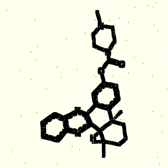 CN1CCN(C(=O)Oc2ccc3c(c2)-c2nc4ccccc4nc2[C@@H]2C(C)(C)CCC[C@]32C)CC1